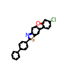 Clc1ccc2c(c1)oc1cc3nc(-c4ccc(-c5ccccc5)cc4)sc3cc12